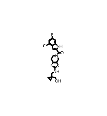 O=C(c1cc2c(Cl)cc(F)cc2[nH]1)N1CCc2nc(NCC3(CO)CC3)sc2C1